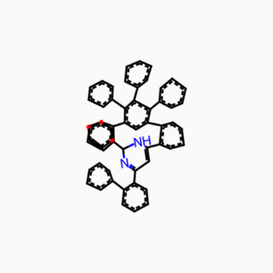 C1=CCCC(c2cc(-c3ccccc3C3=CC(c4ccccc4-c4ccccc4)=NC(c4ccccc4)N3)c(-c3ccccc3)c(-c3ccccc3)c2-c2ccccc2)=C1